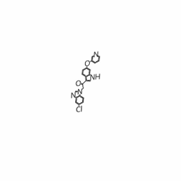 O=C(Cn1cnc2cc(Cl)ccc21)c1c[nH]c2cc(Oc3cccnc3)ccc12